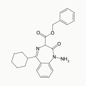 NN1C(=O)C(C(=O)OCc2ccccc2)N=C(C2CCCCC2)c2ccccc21